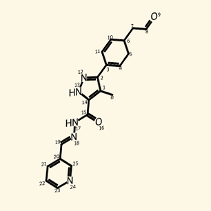 Cc1c(C2=CCC(CC=O)C=C2)n[nH]c1C(=O)N/N=C/c1cccnc1